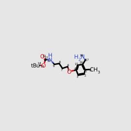 Cc1ccc(OCCCCNC(=O)OC(C)(C)C)cc1CN